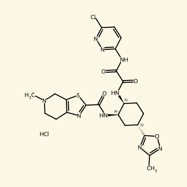 Cc1noc([C@H]2CC[C@H](NC(=O)C(=O)Nc3ccc(Cl)nn3)[C@H](NC(=O)c3nc4c(s3)CN(C)CC4)C2)n1.Cl